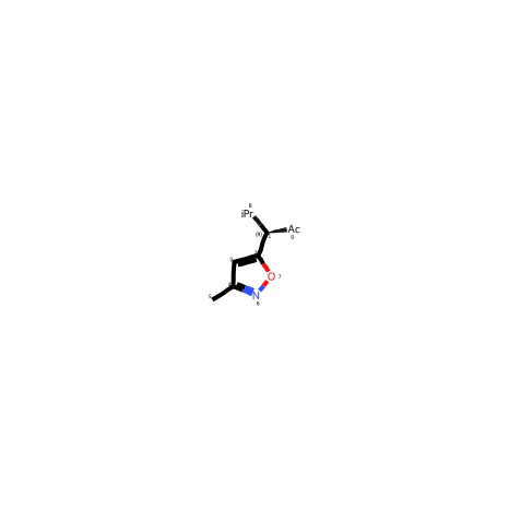 CC(=O)[C@@H](c1cc(C)no1)C(C)C